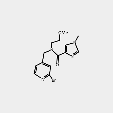 COCCN(Cc1ccnc(Br)c1)C(=O)c1cn(C)cn1